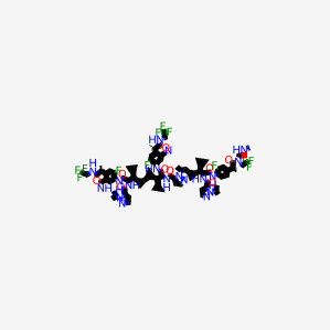 CNCCN(CC(F)(F)F)C(=O)[C@@H](C)c1ccc(NC(=O)[C@@H](NC(=O)c2ccnn2C(C)C)C(C2CC2)C2CC2CC(C)n2nccc2C(=O)N[C@H](C(=O)Nc2cc(C#N)c([C@H](C)C(=O)NCC(F)(F)F)cc2F)C(=C2CC2)C2CC2C2CC2C(C2CC2)[C@H](NC(=O)c2ccnn2C(C)C)C(=O)Nc2cc(CN)c([C@H](C)C(=O)NCC(F)(F)F)cc2F)c(F)c1